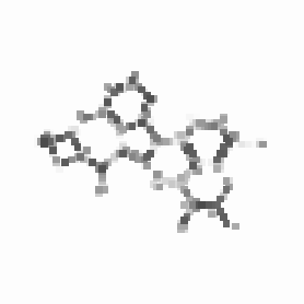 Cc1cncc2c1c(C(C)C1CNC1)cn2-c1ccc(F)cc1C(=O)N(C)C(C)C